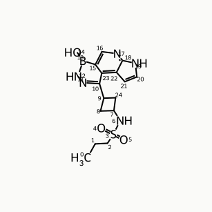 CCCS(=O)(=O)NC1CC(C2=NNB(O)c3cnc4[nH]ccc4c32)C1